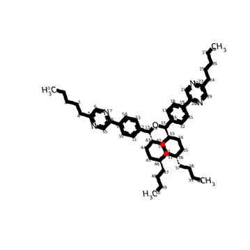 CCCCCc1cnc(-c2ccc(C(OC(c3ccc(-c4cnc(CCCCC)cn4)cc3)[C@H]3CC[C@H](CCCC)CC3)[C@H]3CC[C@H](CCCC)CC3)cc2)cn1